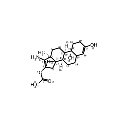 CC(=O)OC1=C(N)[C@@]2(C)CC[C@@H]3[C@@H](CCC4C=C(O)CC[C@@]43C)[C@@H]2C1